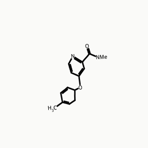 CNC(=O)c1cc(OC2C=CC(C)=CC2)ccn1